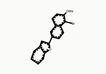 COc1ccc2cc(-c3cc4ccccc4o3)ccc2c1Br